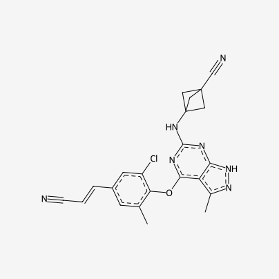 Cc1cc(/C=C/C#N)cc(Cl)c1Oc1nc(NC23CC(C#N)(C2)C3)nc2[nH]nc(C)c12